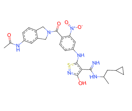 CC(=O)Nc1ccc2c(c1)CN(C(=O)c1ccc(Nc3snc(O)c3C(=N)NC(C)CC3CC3)cc1[N+](=O)[O-])C2